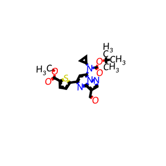 COC(=O)c1ccc(-c2cc(N(C(=O)OC(C)(C)C)C3CC3)n3ncc(C=O)c3n2)s1